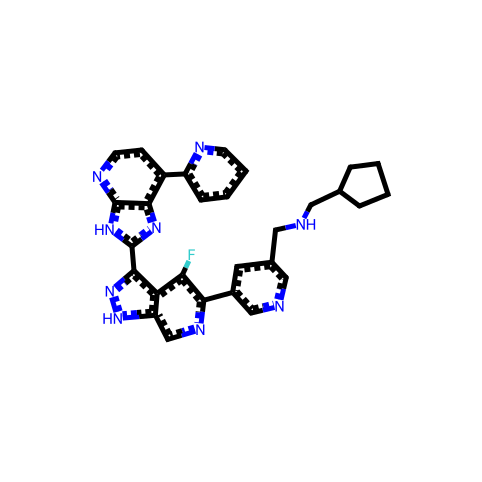 Fc1c(-c2cncc(CNCC3CCCC3)c2)ncc2[nH]nc(-c3nc4c(-c5ccccn5)ccnc4[nH]3)c12